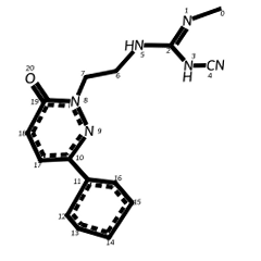 CN=C(NC#N)NCCn1nc(-c2ccccc2)ccc1=O